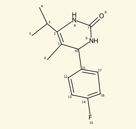 CC1=C(C(C)C)NC(=O)NC1c1ccc(F)cc1